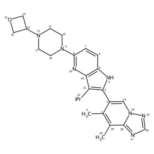 Cc1c(-c2[nH]c3ccc(N4CCN(C5COC5)CC4)nc3c2C(C)C)cn2ncnc2c1C